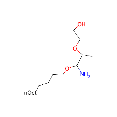 CCCCCCCCCCCCOC(N)C(C)OCCO